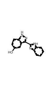 Oc1ccc2[nH]nc(-c3nc4ccccc4[nH]3)c2c1